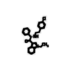 CCn1cc(C(=O)[C@@H](NCCc2ccc(Cl)cc2)c2ccccc2)c2ccccc21